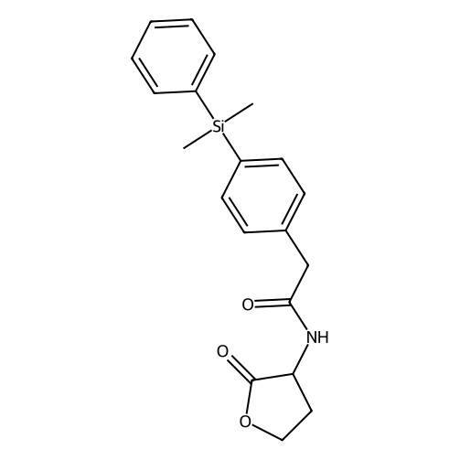 C[Si](C)(c1ccccc1)c1ccc(CC(=O)NC2CCOC2=O)cc1